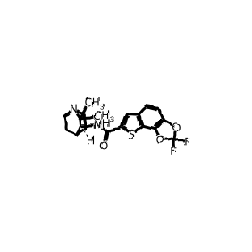 CC1(C)[C@@H](NC(=O)c2cc3ccc4c(c3s2)OC(F)(F)O4)C2CCN1CC2